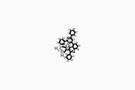 C/C=c1\c(=C/C)oc2c1c(-c1ccccc1)nc1cccc(-c3cc(-c4ccccc4)nc(-c4ccccc4)n3)c12